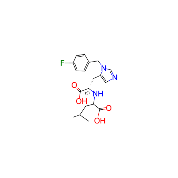 CC(C)CC(N[C@@H](Cc1cncn1Cc1ccc(F)cc1)C(=O)O)C(=O)O